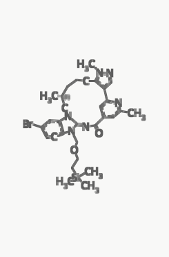 Cc1cc2cc(n1)-c1cnn(C)c1CCC[C@@H](C)CN1C(=NC2=O)N(COCC[Si](C)(C)C)c2ccc(Br)cc21